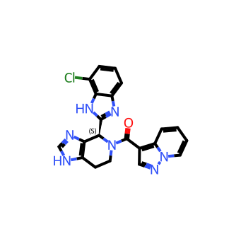 O=C(c1cnn2ccccc12)N1CCc2[nH]cnc2[C@H]1c1nc2cccc(Cl)c2[nH]1